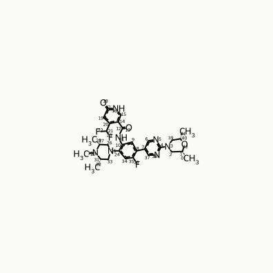 C[C@@H]1CN(c2ncc(-c3cc(NC(=O)c4c[nH]c(=O)cc4C(F)F)c(N4C[C@@H](C)N(C)[C@@H](C)C4)cc3F)cn2)C[C@H](C)O1